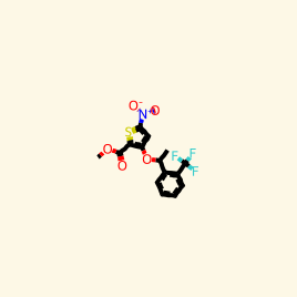 COC(=O)c1sc([N+](=O)[O-])cc1OC(C)c1ccccc1C(F)(F)F